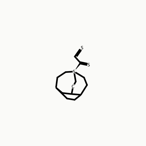 S=CC(=S)[S@@]12CCC3CCC(CC1)C(CC2)C3